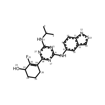 CC(C)Nc1nc(Nc2ccc3nscc3c2)nc(C2=C(F)C(O)CCC2)n1